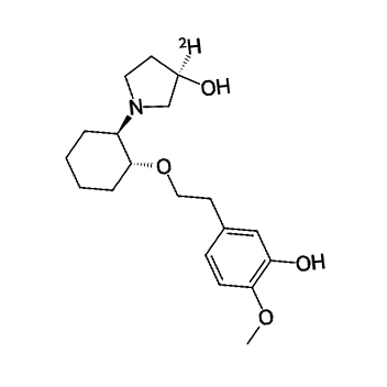 [2H][C@@]1(O)CCN([C@@H]2CCCC[C@H]2OCCc2ccc(OC)c(O)c2)C1